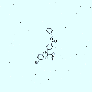 O=C(OCc1ccccc1)c1ccc(N(Cc2ccc(Br)cc2)C(=O)[C@H]2CCN2)cc1